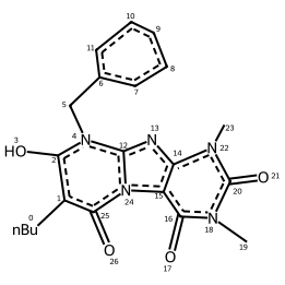 CCCCc1c(O)n(Cc2ccccc2)c2nc3c(c(=O)n(C)c(=O)n3C)n2c1=O